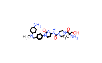 CN(Cc1ccc(-n2ccc(NC(=O)N3CCN(C(=O)C(C)(N)CO)CC3)nc2=O)cc1)C1CCC(N)CC1